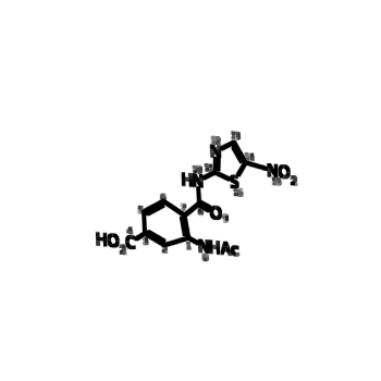 CC(=O)Nc1cc(C(=O)O)ccc1C(=O)Nc1ncc([N+](=O)[O-])s1